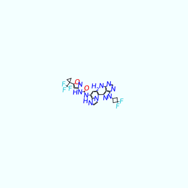 Nc1ncnc2c1c(-c1ccc(NC(=O)Nc3cc(C4(C(F)(F)F)CC4)on3)c3nccn13)nn2C1CC(F)(F)C1